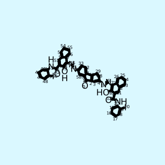 O=C1c2cc(/N=N/c3c(O)c(C(=O)Nc4ccccc4I)cc4ccccc34)ccc2-c2ccc(/N=N/c3c(O)c(C(=O)Nc4ccccc4I)cc4ccccc34)cc21